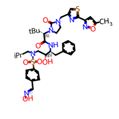 Cc1cc(-c2nc(CN3CCN([C@H](C(=O)N[C@@H](Cc4ccccc4)[C@H](O)CN(CC(C)C)S(=O)(=O)c4ccc(/C=N/O)cc4)C(C)(C)C)C3=O)cs2)no1